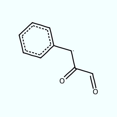 O=CC(=O)[CH]c1ccccc1